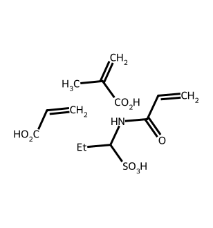 C=C(C)C(=O)O.C=CC(=O)NC(CC)S(=O)(=O)O.C=CC(=O)O